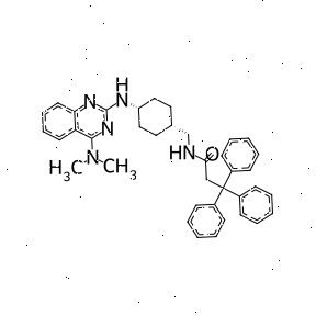 CN(C)c1nc(N[C@H]2CC[C@@H](CNC(=O)CC(c3ccccc3)(c3ccccc3)c3ccccc3)CC2)nc2ccccc12